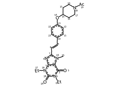 CCn1c(=O)c2c(nc(C=Cc3ccc(OC4CCN(C(C)=O)CC4)cc3)n2C)n(CC)c1=O